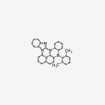 Cc1cccc(C)c1B1c2ccccc2-n2c3c1ccc1cccc(c13)n1c3ccccc3nc21